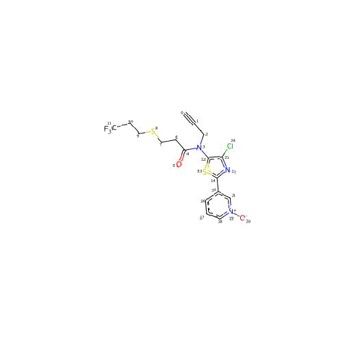 C#CCN(C(=O)CCSCCC(F)(F)F)c1sc(-c2ccc[n+]([O-])c2)nc1Cl